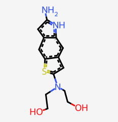 Nc1cc2cc3sc(N(CCO)CCO)cc3cc2[nH]1